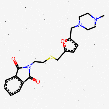 CN1CCN(Cc2ccc(CSCCN3C(=O)c4ccccc4C3=O)o2)CC1